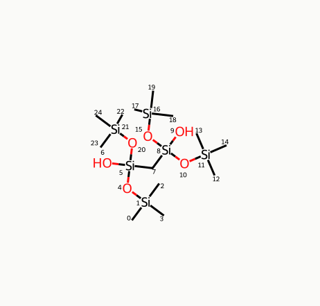 C[Si](C)(C)O[Si](O)(C[Si](O)(O[Si](C)(C)C)O[Si](C)(C)C)O[Si](C)(C)C